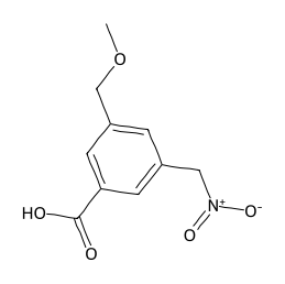 COCc1cc(C[N+](=O)[O-])cc(C(=O)O)c1